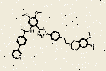 COc1cc2c(cc1OC)CN(CCc1ccc(-n3nnc(-c4cc(OC)c(OC)cc4NC(=O)c4ccc(-c5cccnc5)cc4)n3)cc1)CC2